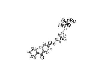 CCCCS(=O)(=O)NCCC[N+](C)(C)CCCOc1ccc(C(=O)c2ccccc2)cc1